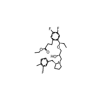 CCOC(=O)CCc1cc(F)c(F)cc1[C@@H](CC)OC[C@H](O)CN1CCC[C@H]1Cc1ccc(C)c(F)c1